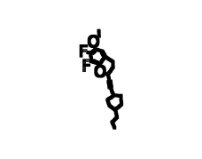 CCCC1CCC(C#CC2CCc3cc(OCC)c(F)c(F)c3O2)CC1